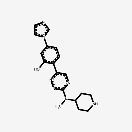 CN(c1ncc(-c2ccc(-n3ccnc3)cc2O)nn1)C1CCNCC1